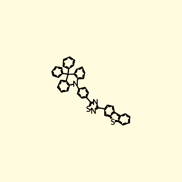 c1ccc(C2(c3ccccc3)c3ccccc3N(c3ccc(-c4nc(-c5ccc6c(c5)sc5ccccc56)ns4)cc3)c3ccccc32)cc1